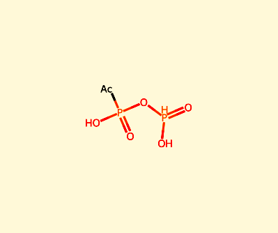 CC(=O)P(=O)(O)O[PH](=O)O